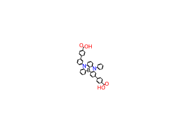 O=C(O)c1ccc(-c2cccc(N3c4ccccc4B4c5ccc(-c6ccc(C(=O)O)cc6)cc5N(c5ccccc5)c5cccc3c54)c2)cc1